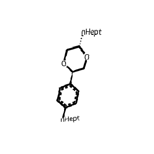 CCCCCCCc1ccc([C@@H]2CO[C@@H](CCCCCCC)CO2)cc1